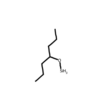 CCCC(CCC)O[SiH3]